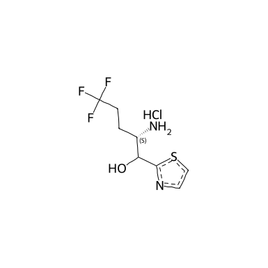 Cl.N[C@@H](CCC(F)(F)F)C(O)c1nccs1